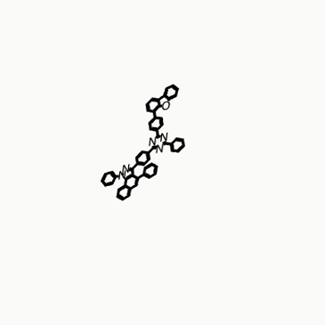 c1ccc(-c2nc(-c3ccc(-c4cccc5c4oc4ccccc45)cc3)nc(-c3ccc(-c4nn(-c5ccccc5)c5c4c(-c4ccccc4)cc4ccccc45)cc3)n2)cc1